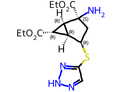 CCOC(=O)[C@H]1[C@H]2[C@@H]1[C@](N)(C(=O)OCC)C[C@H]2Sc1cn[nH]n1